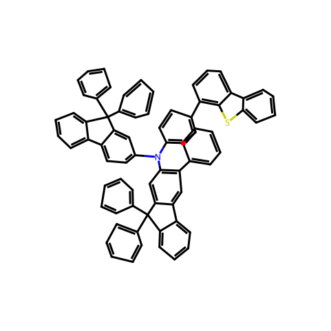 c1ccc(-c2cc3c(cc2N(c2ccc(-c4cccc5c4sc4ccccc45)cc2)c2ccc4c(c2)C(c2ccccc2)(c2ccccc2)c2ccccc2-4)C(c2ccccc2)(c2ccccc2)c2ccccc2-3)cc1